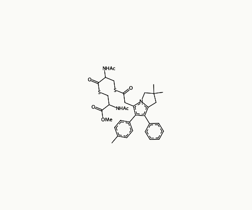 COC(=O)C(CSC(=O)C(CSC(=O)Cc1c(-c2ccc(C)cc2)c(-c2ccccc2)c2n1CC(C)(C)C2)NC(C)=O)NC(C)=O